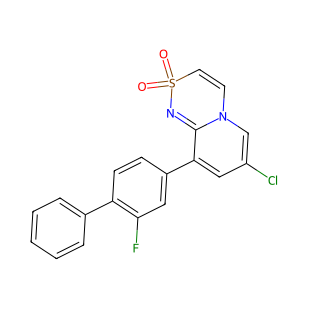 O=S1(=O)C=CN2C=C(Cl)C=C(c3ccc(-c4ccccc4)c(F)c3)C2=N1